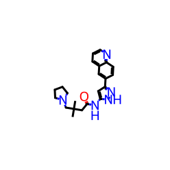 CC(C)(CC(=O)Nc1cc(-c2ccc3ncccc3c2)n[nH]1)CN1CCCC1